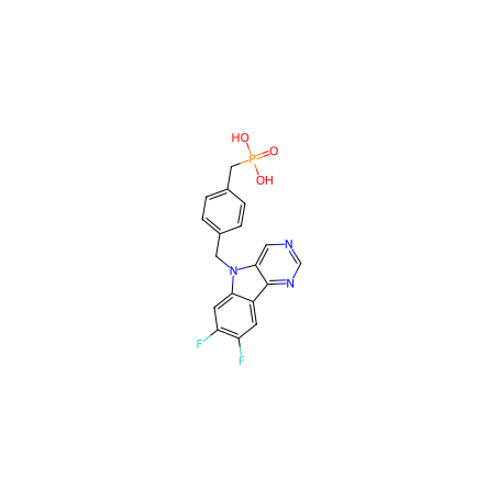 O=P(O)(O)Cc1ccc(Cn2c3cc(F)c(F)cc3c3ncncc32)cc1